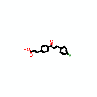 O=C(O)C=Cc1ccc(C(=O)C=Cc2ccc(Br)cc2)cc1